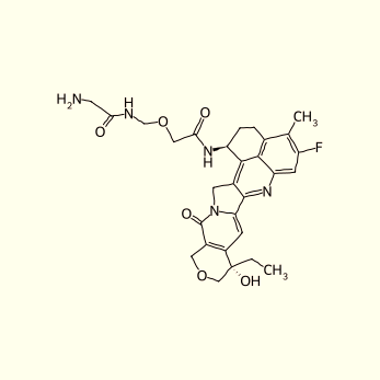 CC[C@@]1(O)COCc2c1cc1n(c2=O)Cc2c-1nc1cc(F)c(C)c3c1c2[C@@H](NC(=O)COCNC(=O)CN)CC3